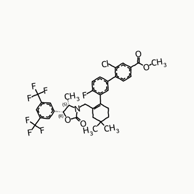 COC(=O)c1ccc(-c2ccc(F)c(C3=C(CN4C(=O)O[C@H](c5cc(C(F)(F)F)cc(C(F)(F)F)c5)[C@@H]4C)CC(C)(C)CC3)c2)c(Cl)c1